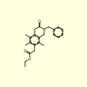 CCOC(=O)Cc1c(C)c(C)c2c(c1C)CN(Cc1ccccc1)C(=O)C2